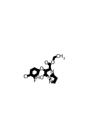 CCOC(=O)c1nc2ccnn2c(O)c1Oc1ccc(Cl)c(F)c1